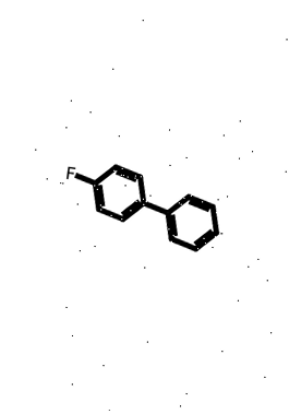 Fc1ccc(-c2cc[c]cc2)cc1